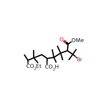 CCOC(=O)C(C)C(C)(C)CC(C(=O)O)C(C)(C)C(C)(C)C(C(=O)OC)C(C)(C)Br